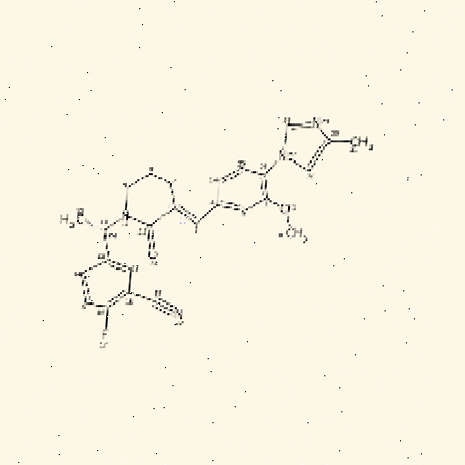 COc1cc(/C=C2\CCCN([C@@H](C)c3ccc(F)c(C#N)c3)C2=O)ccc1-n1cnc(C)c1